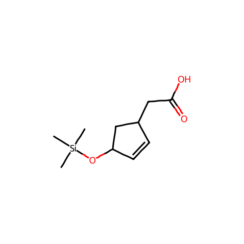 C[Si](C)(C)OC1C=CC(CC(=O)O)C1